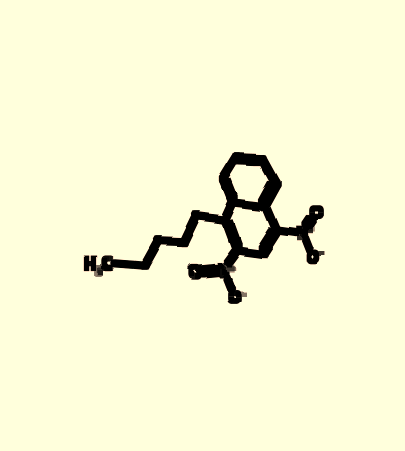 CCCCCc1c([N+](=O)[O-])cc([N+](=O)[O-])c2ccccc12